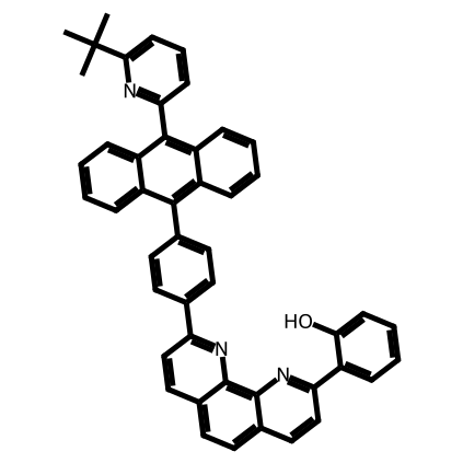 CC(C)(C)c1cccc(-c2c3ccccc3c(-c3ccc(-c4ccc5ccc6ccc(-c7ccccc7O)nc6c5n4)cc3)c3ccccc23)n1